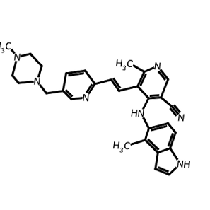 Cc1ncc(C#N)c(Nc2ccc3[nH]ccc3c2C)c1/C=C/c1ccc(CN2CCN(C)CC2)cn1